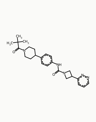 CC(C)(C)C(=O)N1CCC(c2ccc(NC(=O)N3CC(c4cccnn4)C3)cc2)CC1